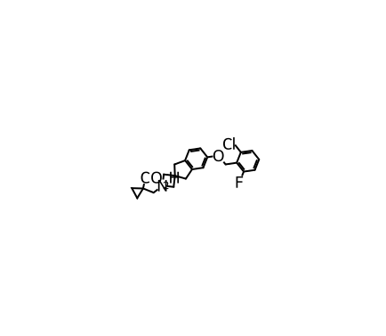 O=C(O)C1(CN2CC3(Cc4ccc(OCc5c(F)cccc5Cl)cc4C3)C2)CC1